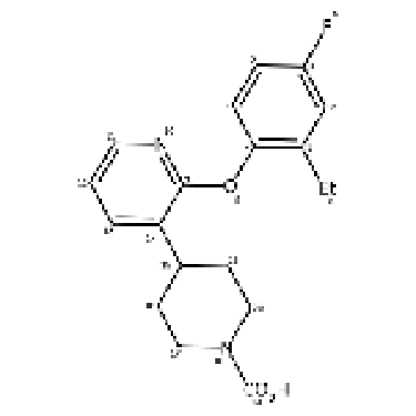 CCc1cc(F)ccc1Oc1ncccc1C1CCN(C(=O)O)CC1